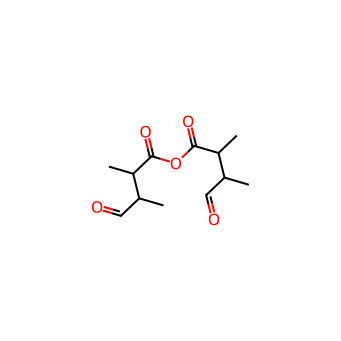 CC(C=O)C(C)C(=O)OC(=O)C(C)C(C)C=O